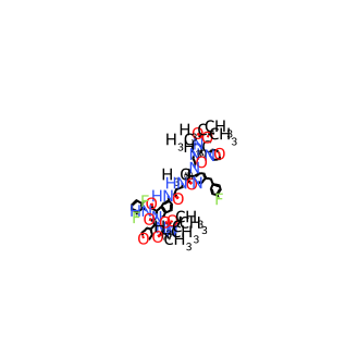 CC1COCCN1C[C@H]1CN(C(=O)OC(C)(C)C)C(C)CN1CC(=O)N1C[C@@](C)(C(=O)NCCC(=O)Nc2ccc3c(c2)C(C(=O)Nc2c(F)cccc2F)N(C(=O)C(NC(=O)[C@H](C)N(C)C(=O)OC(C)(C)C)C2CCOCC2)C3)c2ncc(Cc3ccc(F)cc3)cc21